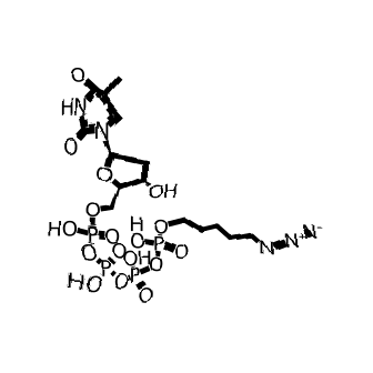 Cc1cn([C@H]2C[C@@H](O)[C@@H](COP(=O)(O)OP(=O)(O)OP(=O)(O)OP(=O)(O)OCCCCCN=[N+]=[N-])O2)c(=O)[nH]c1=O